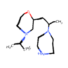 CC(C)N1CCOC(CC(C)N2CCNCC2)C1